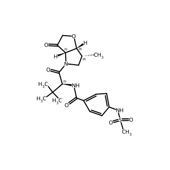 C[C@@H]1CN(C(=O)[C@@H](NC(=O)c2ccc(NS(C)(=O)=O)cc2)C(C)(C)C)[C@@H]2C(=O)CO[C@H]12